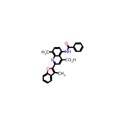 Cc1c(-c2cc(C(=O)O)c3c(NC(=O)c4ccccc4)ccc(C)c3n2)oc2ccccc12